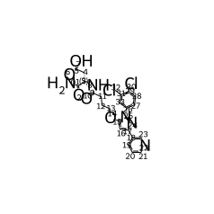 NC(=O)[C@H](CC(=O)O)NC(=O)CCCOc1cc(-c2cccnc2)nn1-c1ccc(Cl)c(Cl)c1